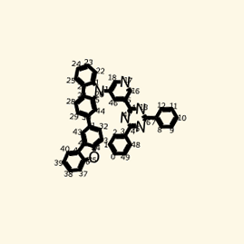 c1ccc(-c2nc(-c3ccccc3)nc(-c3cncc(-n4c5ccccc5c5ccc(-c6ccc7oc8ccccc8c7c6)cc54)c3)n2)cc1